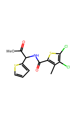 COC(=O)C(NC(=O)c1sc(Cl)c(Cl)c1C)c1cccs1